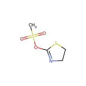 CS(=O)(=O)OC1=NCCS1